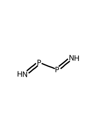 N=PP=N